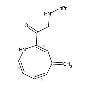 C=C1/C=C\C=C/N/C(C(=O)CNCCC)=C\1